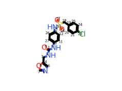 O=C(NCc1cnco1)Nc1ccc(NS(=O)(=O)Cc2ccc(Cl)cc2)cc1